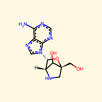 Nc1ncnc2c1ncn2[C@@H]1O[C@]2(CO)CN[C@H]1C2O